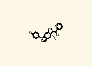 CC1=Cc2c(cnn2-c2ccc(F)cc2)C[C@]1(C)CC(O)c1ccccn1